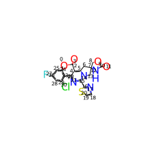 COC(=O)C1=C2CC3(COC(=O)N3)CN2C(c2nccs2)=N[C@H]1c1ccc(F)cc1Cl